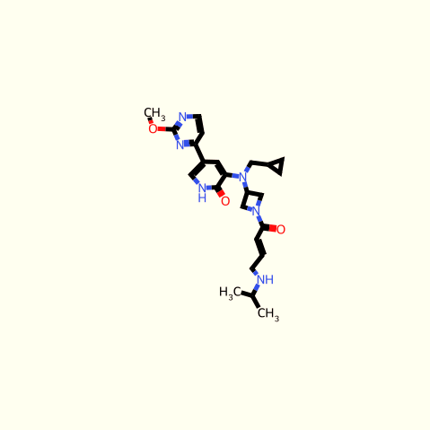 COc1nccc(-c2c[nH]c(=O)c(N(CC3CC3)C3CN(C(=O)/C=C/CNC(C)C)C3)c2)n1